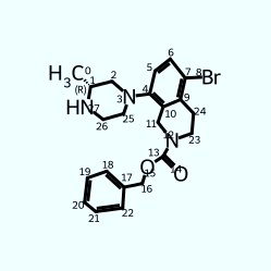 C[C@@H]1CN(c2ccc(Br)c3c2CN(C(=O)OCc2ccccc2)CC3)CCN1